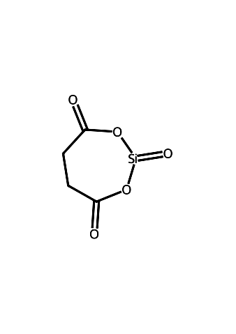 O=C1CCC(=O)O[Si](=O)O1